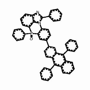 O=P1(c2ccccc2)c2cc(-c3ccc4c(-c5ccccc5)c5ccccc5c(-c5ccccc5)c4c3)ccc2-n2c(-c3ccccc3)nc3cccc1c32